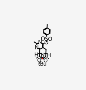 Cc1ccc(S(=O)(=O)Oc2nc(C)nc3c2C[C@@H]2[C@@H](C)C[C@@H](C)[C@H]3N2C(=O)OC(C)(C)C)cc1